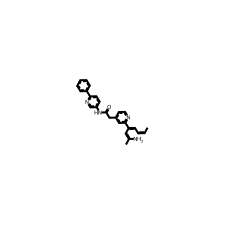 C\C=C/C=C(\C=C(\C)N)c1cc(CC(=O)Nc2ccc(-c3ccccc3)nc2)ccn1